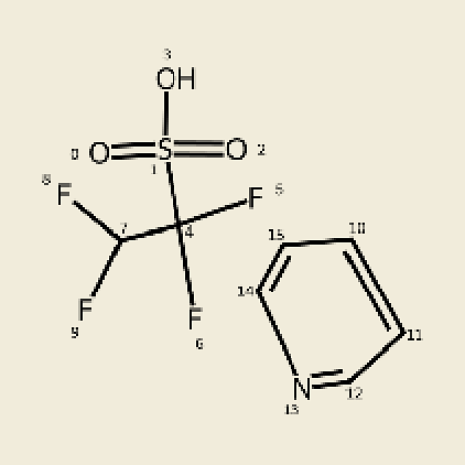 O=S(=O)(O)C(F)(F)C(F)F.c1ccncc1